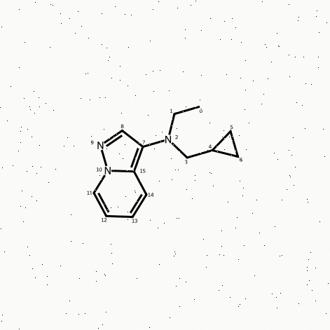 CCN(CC1CC1)c1cnn2ccccc12